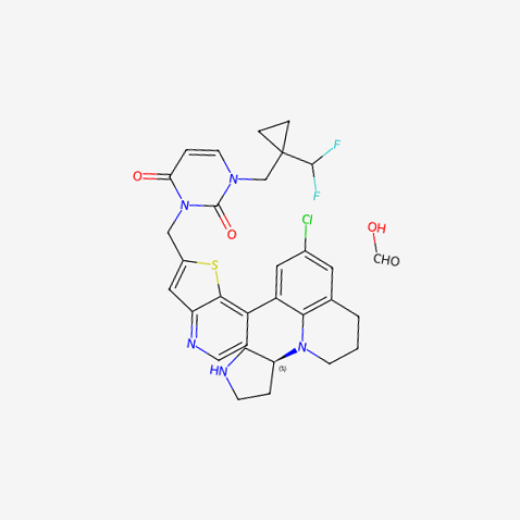 O=CO.O=c1ccn(CC2(C(F)F)CC2)c(=O)n1Cc1cc2nccc(-c3cc(Cl)cc4c3N([C@H]3CCNC3)CCC4)c2s1